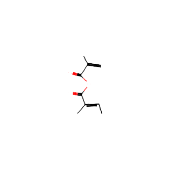 C=C(C)C(=O)OC(=O)C(C)=CC